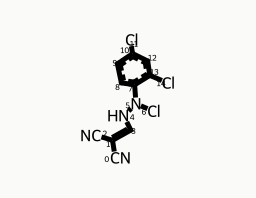 N#CC(C#N)=CNN(Cl)c1ccc(Cl)cc1Cl